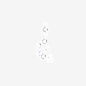 O=C(O)c1ccc2nc(CN3CC[C@H](c4cccc(COc5ccc(Cl)cc5F)c4)C3)n(C[C@@H]3CCO3)c2c1